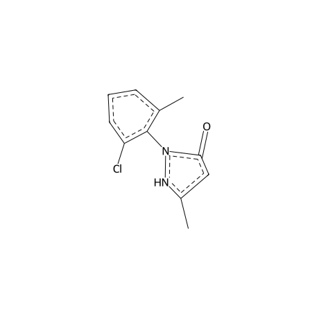 Cc1cc(=O)n(-c2c(C)cccc2Cl)[nH]1